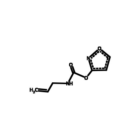 C=CCNC(=O)Oc1ccon1